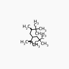 C=C(C)C(CC(=C)C(C)(C)C)CC(C)(C)C